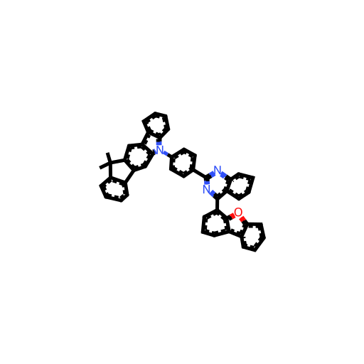 CC1(C)c2ccccc2-c2cc3c(cc21)c1ccccc1n3-c1ccc(-c2nc(-c3cccc4c3oc3ccccc34)c3ccccc3n2)cc1